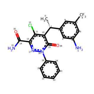 C[C@H](c1cc(N)cc(C(F)(F)F)c1)c1c(Cl)c(C(N)=O)nn(-c2ccccc2)c1=O